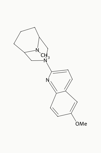 COc1ccc2nc(N3CC4CCCC(C3)N4C)ccc2c1